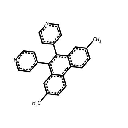 Cc1ccc2c(c1)c(-c1ccncc1)c(-c1ccncc1)c1cc(C)ccc12